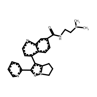 CN(C)CCNC(=O)c1ccc2c(-c3c(-c4ccccn4)nn4c3CCC4)ccnc2c1